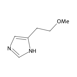 COCCc1cnc[nH]1